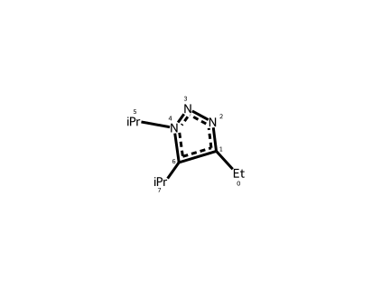 CCc1nnn(C(C)C)c1C(C)C